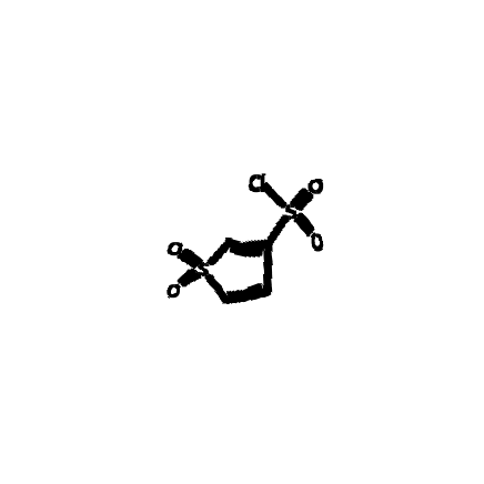 O=S1(=O)C=CC(S(=O)(=O)Cl)=C1